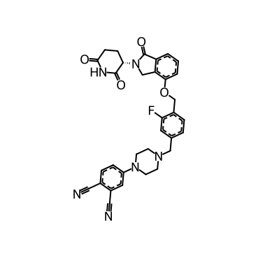 N#Cc1ccc(N2CCN(Cc3ccc(COc4cccc5c4CN([C@H]4CCC(=O)NC4=O)C5=O)c(F)c3)CC2)cc1C#N